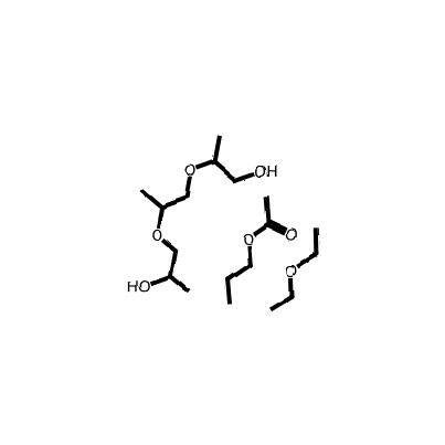 CC(O)COC(C)COC(C)CO.CCCOC(C)=O.CCOCC